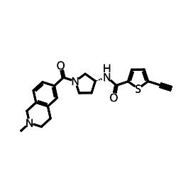 C#Cc1ccc(C(=O)N[C@@H]2CCN(C(=O)c3ccc4c(c3)CCN(C)C4)C2)s1